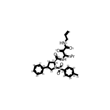 C=CCNC(=O)C(=O)C(CCC)NC(=O)[C@@H]1CC(c2ccccc2)CN1S(=O)(=O)c1ccc(C)cc1